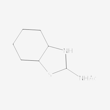 CC(=O)NC1NC2CCCCC2S1